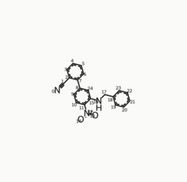 N#Cc1ccccc1-c1ccc([N+](=O)[O-])c(NCc2ccccc2)c1